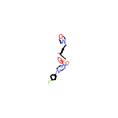 O=S(=O)(C[CH]C#CCN1CCOCC1)N1CCN(c2ccc(F)cc2)CC1